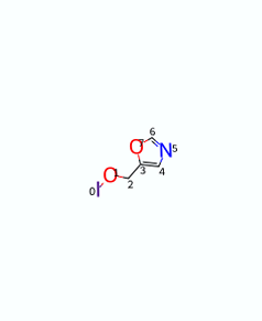 IOCc1cnco1